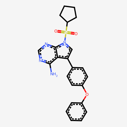 Nc1ncnc2c1c(-c1ccc(Oc3ccccc3)cc1)cn2S(=O)(=O)C1CCCC1